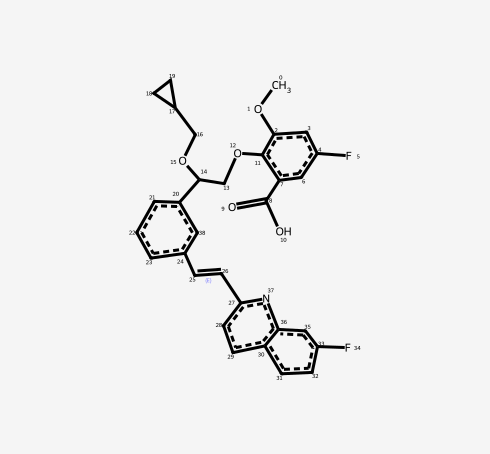 COc1cc(F)cc(C(=O)O)c1OCC(OCC1CC1)c1cccc(/C=C/c2ccc3ccc(F)cc3n2)c1